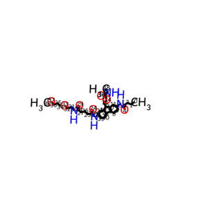 CCCC(=O)Nc1ccc2c(c1)C(COC(=O)NC)c1cc(NC(=O)CCCC(=O)NCCOCCCOC)ccc1-2